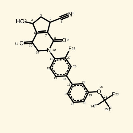 N#CC1CC(O)C2=C1C(=O)N(c1ccc(-c3cccc(OC(F)(F)F)c3)cc1F)CC2=O